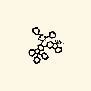 CC1(C)c2ccccc2-c2cc(-c3cc4c(cc3-c3nc(-c5ccccc5)nc(-c5ccccc5)n3)-c3ccccc3C4(c3ccccc3)c3ccccc3)ccc21